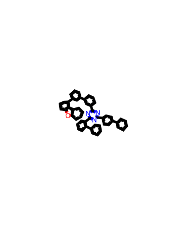 c1ccc(-c2ccc(-c3nc(-c4cccc(-c5cccc(-c6cccc7oc8ccccc8c67)c5)c4)nc(-c4ccccc4-c4ccccc4)n3)cc2)cc1